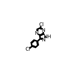 Clc1ccc(-c2n[nH]c3nc(Cl)cnc23)cc1